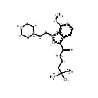 COc1cccc2c(C(=O)NCCC(C)(C)C)nn(CCN3CCOCC3)c12